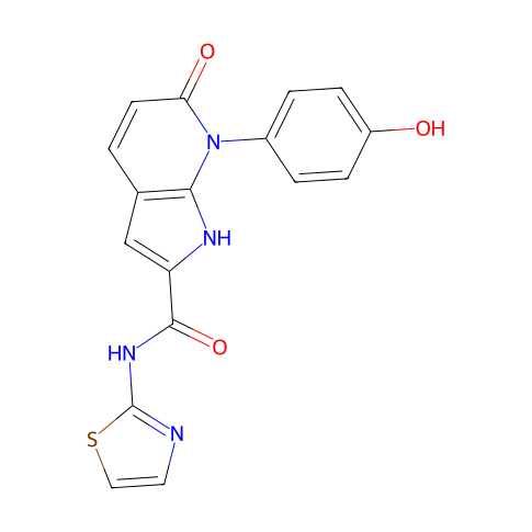 O=C(Nc1nccs1)c1cc2ccc(=O)n(-c3ccc(O)cc3)c2[nH]1